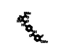 CNC(=O)c1nc[nH]c1C(=O)Nc1ccc(NC(=O)c2ccc(OC)c(F)c2)cc1